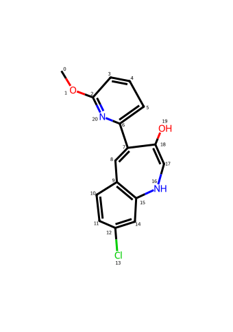 COc1cccc(C2=Cc3ccc(Cl)cc3NC=C2O)n1